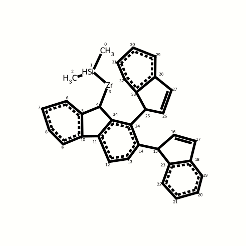 C[SiH](C)[Zr][CH]1c2ccccc2-c2ccc(C3C=Cc4ccccc43)c(C3C=Cc4ccccc43)c21